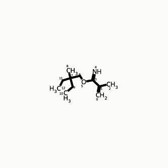 C=C(C)C(=N)OCC(C)(CC)CC